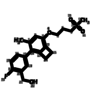 Cc1cc(OCCCS(C)(=O)=O)c2c(c1-c1ccc(F)c(CO)c1)CC2